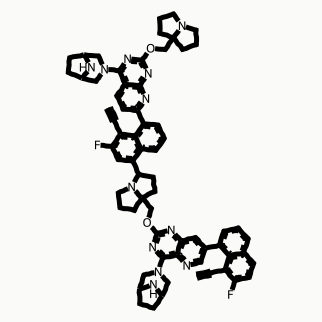 C#Cc1c(F)ccc2cccc(-c3cnc4c(N5CC6CCC(C5)N6)nc(OCC56CCCN5C(c5cc(F)c(C#C)c7c(-c8ccc9c(N%10CC%11CCC(C%10)N%11)nc(OCC%10%11CCCN%10CCC%11)nc9n8)cccc57)CC6)nc4c3)c12